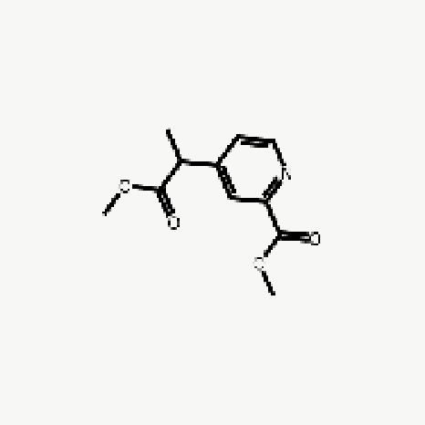 COC(=O)c1cc(C(C)C(=O)OC)ccn1